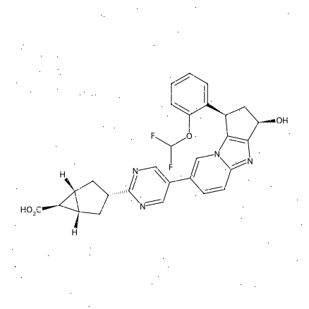 O=C(O)[C@H]1[C@@H]2C[C@H](c3ncc(-c4ccc5nc6c(n5c4)[C@@H](c4ccccc4OC(F)F)C[C@H]6O)cn3)C[C@@H]21